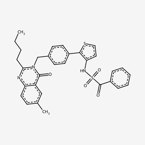 CCCCc1nc2ccc(C)cc2c(=O)n1Cc1ccc(-c2sccc2NS(=O)(=O)C(=O)c2ccccc2)cc1